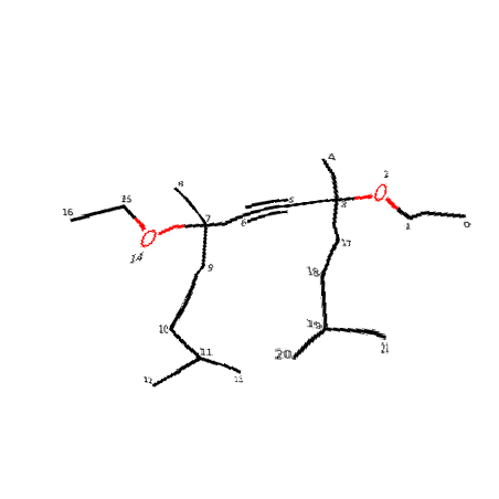 CCOC(C)(C#CC(C)(CCC(C)C)OCC)CCC(C)C